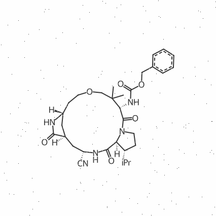 CC(C)[C@H]1CCN2C(=O)[C@@H](NC(=O)OCc3ccccc3)C(C)(C)COCC[C@@H]3C[C@@H](C[C@@H](C#N)NC(=O)[C@H]12)C(=O)N3